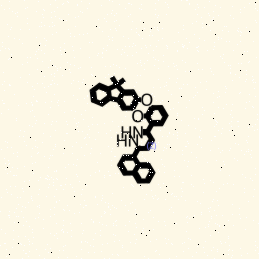 CC1(C)c2ccccc2-c2cc3c(cc21)Oc1cccc(C(=N)/C=C\C(=N)c2cccc4ccccc24)c1O3